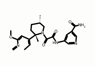 C=N/C(=C\C(=C/C)[C@]1(C)CC[C@H](C)CN1C(=O)C(=O)Nc1cncc(C(N)=O)c1)OC